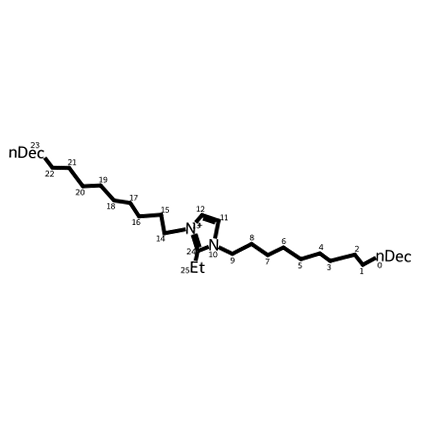 CCCCCCCCCCCCCCCCCCCn1cc[n+](CCCCCCCCCCCCCCCCCCC)c1CC